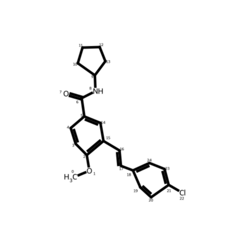 COc1ccc(C(=O)NC2CCCC2)cc1C=Cc1ccc(Cl)cc1